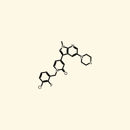 Cn1cc(-c2ccn(Cc3cccc(Cl)c3F)c(=O)c2)c2cc(N3CCSCC3)cnc21